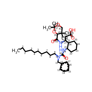 CCCCCCCCCCN(Cc1ccccc1)C(=O)NC1CCCCC1C(CC(=O)O)NC(=O)C1OC(C)(C)OCC1(C)C